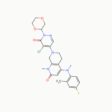 CN(c1ccc(F)cc1C(F)(F)F)c1cc(=O)n(C)c2c1CCN(c1cnn(C3COCCO3)c(=O)c1Cl)C2